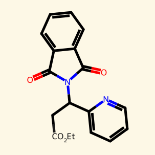 CCOC(=O)CC(c1ccccn1)N1C(=O)c2ccccc2C1=O